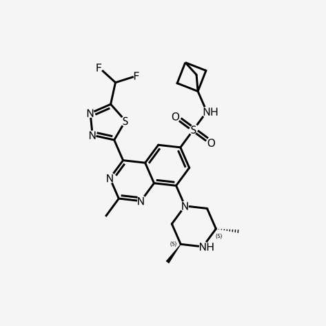 Cc1nc(-c2nnc(C(F)F)s2)c2cc(S(=O)(=O)NC34CC(C3)C4)cc(N3C[C@H](C)N[C@@H](C)C3)c2n1